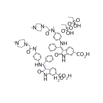 CCS(=O)(=O)O.CCS(=O)(=O)O.CN1CCN(CC(=O)N(C)c2ccc(N/C(=C3\C(=O)Nc4cc(C(=O)O)ccc43)c3ccccc3)cc2)CC1.CN1CCN(CC(=O)N(C)c2ccc(NC(=C3C(=O)Nc4cc(C(=O)O)ccc43)c3ccccc3)cc2)CC1.O